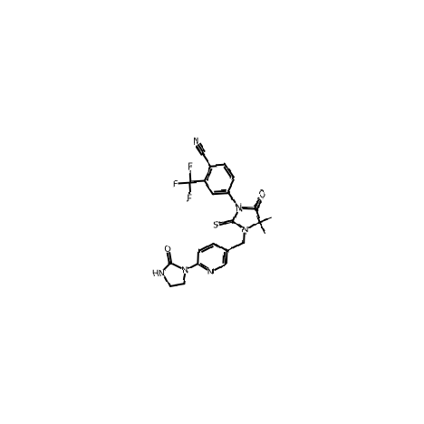 CC1(C)C(=O)N(c2ccc(C#N)c(C(F)(F)F)c2)C(=S)N1Cc1ccc(N2CCNC2=O)nc1